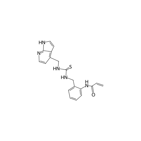 C=CC(=O)Nc1ccccc1CNC(=S)NCc1ccnc2[nH]ccc12